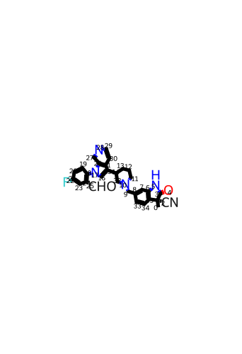 CC1(C#N)C(=O)Nc2cc(CN3CCCC(c4cn(-c5ccc(F)cc5C=O)c5cnccc45)C3)ccc21